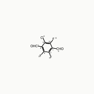 O=Cc1c(F)c(F)c(C=O)c(Cl)c1F